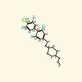 CCCC1CCC(CCc2cc(F)c(-c3cc(F)c(Cl)c(F)c3)c(F)c2)CC1